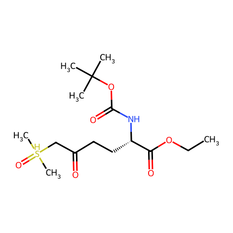 CCOC(=O)[C@H](CCC(=O)C[SH](C)(C)=O)NC(=O)OC(C)(C)C